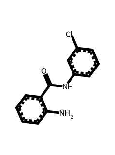 Nc1ccccc1C(=O)Nc1cccc(Cl)c1